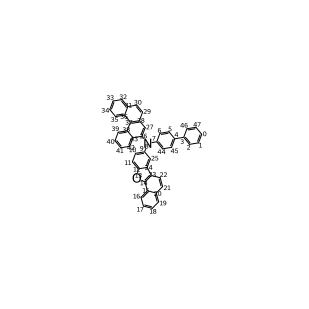 c1ccc(-c2ccc(N(c3ccc4oc5c6ccccc6ccc5c4c3)c3cc4ccc5ccccc5c4c4ccccc34)cc2)cc1